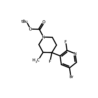 CC1CN(C(=O)OC(C)(C)C)CCC1(F)c1cc(Br)cnc1F